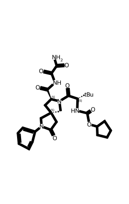 CC(C)(C)[C@H](NC(=O)OC1CCCC1)C(=O)N1C[C@@]2(CC(=O)N(c3ccccc3)C2)C[C@H]1C(=O)NC(=O)C(N)=O